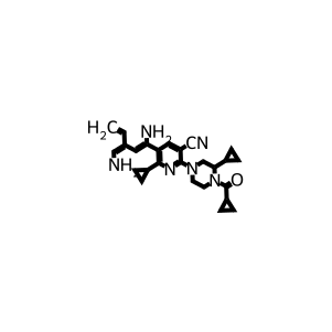 C=CC(=C/N)/C=C(\N)c1cc(C#N)c(N2CCN(C(=O)C3CC3)C(C3CC3)C2)nc1C1CC1